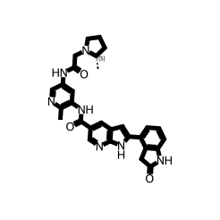 Cc1ncc(NC(=O)CN2CCC[C@@H]2C)cc1NC(=O)c1cnc2[nH]c(-c3cccc4c3CC(=O)N4)cc2c1